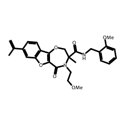 C=C(C)c1ccc2c3c(oc2c1)C(=O)N(CCOC)C(C)(C(=O)NCc1ccccc1OC)CO3